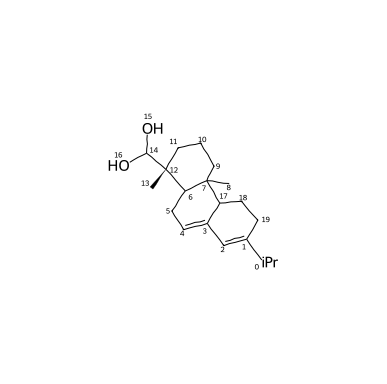 CC(C)C1=CC2=CCC3C(C)(CCC[C@@]3(C)C(O)O)C2CC1